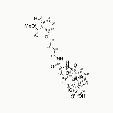 COC(=O)c1c(O)cccc1OCCCCNC(=O)C(Cc1ccc(C(F)(F)P(=O)(O)O)c(Br)c1)NS(=O)(=O)c1ccccc1